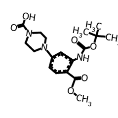 COC(=O)c1ccc(N2CCN(C(=O)O)CC2)cc1NC(=O)OC(C)(C)C